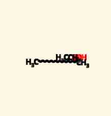 CCCCCCCCCCCCCCCC(CCC=C(C)C(=O)O)C(C)C